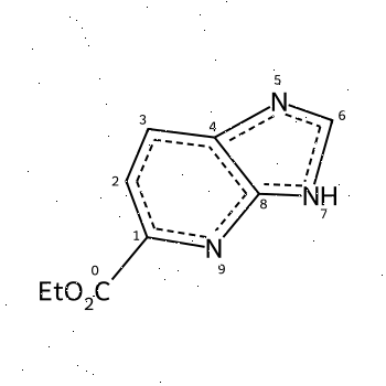 CCOC(=O)c1ccc2nc[nH]c2n1